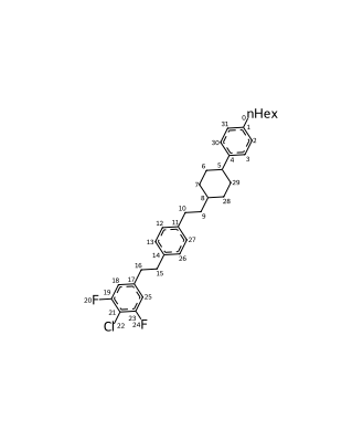 CCCCCCc1ccc(C2CCC(CCc3ccc(CCc4cc(F)c(Cl)c(F)c4)cc3)CC2)cc1